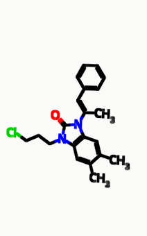 CC(=Cc1ccccc1)n1c(=O)n(CCCCl)c2cc(C)c(C)cc21